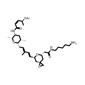 CC(=O)O[C@@H](C)/C=C\C(=O)N[C@@H]1C[C@H](C)[C@H](C/C=C(C)/C=C/[C@@H]2C[C@]3(CO3)C[C@@H](CC(=O)NCCCCCN)O2)O[C@@H]1C